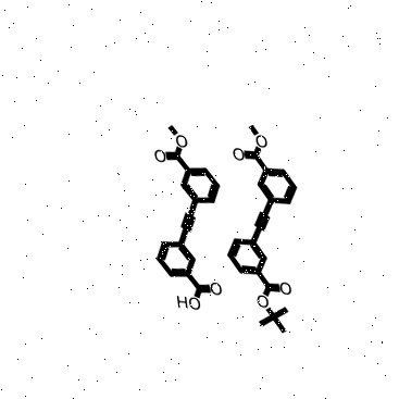 COC(=O)c1cccc(C#Cc2cccc(C(=O)O)c2)c1.COC(=O)c1cccc(C#Cc2cccc(C(=O)OC(C)(C)C)c2)c1